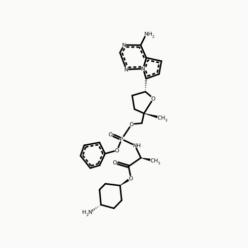 C[C@H](NP(=O)(OC[C@]1(C)CC[C@H](c2ccc3c(N)ncnn23)O1)Oc1ccccc1)C(=O)O[C@H]1CC[C@H](N)CC1